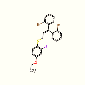 O=C(O)COc1ccc(SCC=C(c2ccccc2Br)c2ccccc2Br)c(I)c1